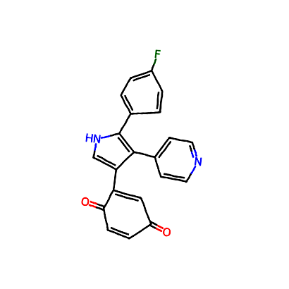 O=C1C=CC(=O)C(c2c[nH]c(-c3ccc(F)cc3)c2-c2ccncc2)=C1